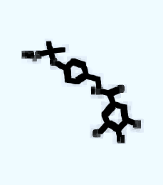 CC(C)(Oc1ccc(CNC(=O)c2cc(Cl)c(Cl)c(Cl)c2)cc1)C(=O)O